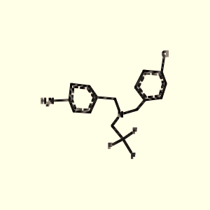 Nc1ccc(CN(Cc2ccc(Cl)cc2)CC(F)(F)F)cc1